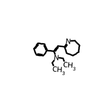 CCN(CC)/C(=C\C1=NCCCCC1)c1ccccc1